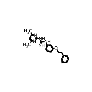 Cc1cc(C)nc(NC(=N)Nc2cccc(OCCc3ccccc3)c2)n1